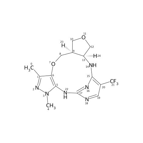 Cc1nn(C)c2c1OC[C@H]1COC[C@H]1Nc1nc(ncc1C(F)(F)F)N2